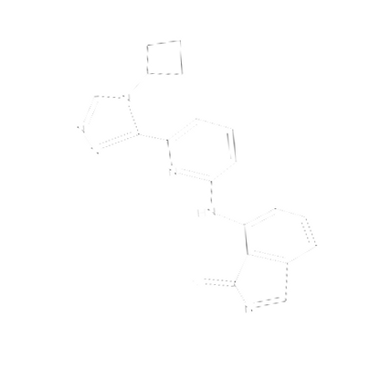 O=C1N=Cc2cccc(Nc3cccc(-c4nncn4C4CCC4)n3)c21